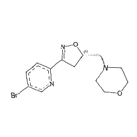 Brc1ccc(C2=NO[C@H](CN3CCOCC3)C2)nc1